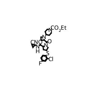 CCOC(=O)N1CCC(N2CCC2C(=O)N2CC(Sc3ccc(F)cc3Cl)CC2C(=O)NC2(C#N)CC2)CC1